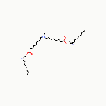 CCCCCC/C=C\COC(=O)CCCCCCCN(CC)CCCCCCCC(=O)OC/C=C\CCCCCC